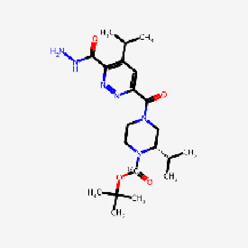 CC(C)c1cc(C(=O)N2CCN([14C](=O)OC(C)(C)C)[C@@H](C(C)C)C2)nnc1C(=O)NN